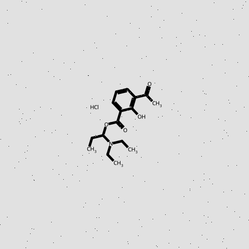 CCC(OC(=O)c1cccc(C(C)=O)c1O)N(CC)CC.Cl